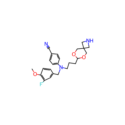 COc1ccc(CN(CCCC2OCC3(CNC3)CO2)c2ccc(C#N)cc2)cc1F